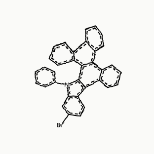 Brc1ccc2c3c4ccccc4c4c5ccccc5c5ccccc5c4c3n(-c3ccccc3)c2c1